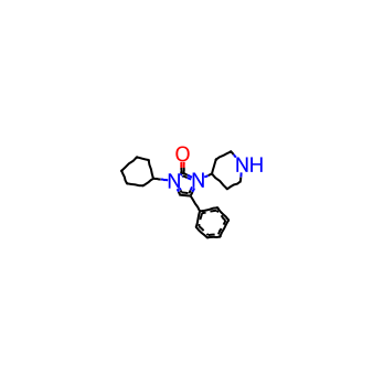 O=c1n(C2CCCCC2)cc(-c2ccccc2)n1C1CCNCC1